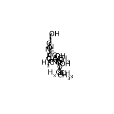 CN1C(N(COCC[Si](C)(C)C)C(=O)O)=NC(C)(c2cc(C=C(F)c3cnc(OCC#CCO)cn3)ccc2F)CS1(O)O